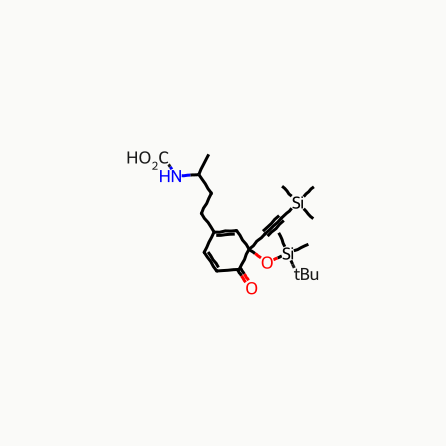 CC(CCC1=CC(C#C[Si](C)(C)C)(O[Si](C)(C)C(C)(C)C)C(=O)C=C1)NC(=O)O